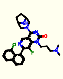 CN(C)CCCn1c(=O)nc(N2CC3CCC(C2)N3)c2cnc(-c3cccc4cccc(Cl)c34)c(F)c21